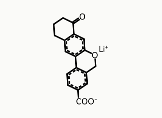 O=C([O-])c1ccc2c(c1)COc1cc3c(cc1-2)CCCC3=O.[Li+]